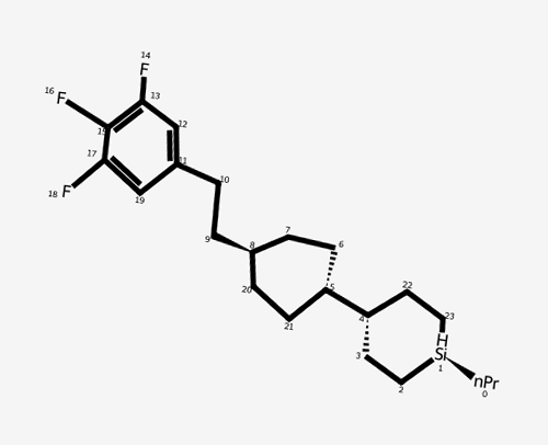 CCC[Si@H]1CC[C@H]([C@H]2CC[C@H](CCc3cc(F)c(F)c(F)c3)CC2)CC1